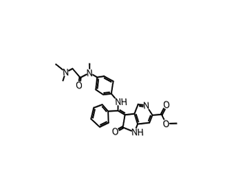 COC(=O)c1cc2c(cn1)C(=C(Nc1ccc(N(C)C(=O)CN(C)C)cc1)c1ccccc1)C(=O)N2